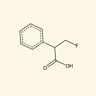 O=C(O)C(CF)c1ccccc1